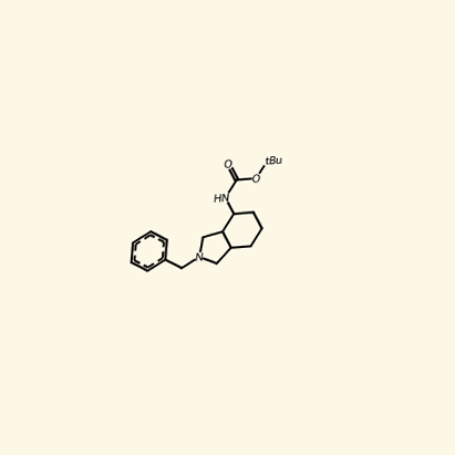 CC(C)(C)OC(=O)NC1CCCC2CN(Cc3ccccc3)CC21